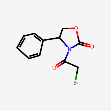 O=C(CBr)N1C(=O)OCC1c1ccccc1